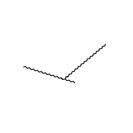 CCCCCCCCCCCCCCCCCCCC=CC(C=CCCCCCCCCCCCCCCCCCCCCCCCCC)CCCCC